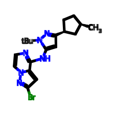 C[C@@H]1CC[C@H](c2cc(Nc3nccn4nc(Br)cc34)n(C(C)(C)C)n2)C1